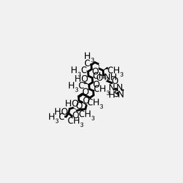 CC[C@@H](C(=O)[C@@H](C)[C@@H](O)[C@H](C)[C@@H]1O[C@@H]([C@@H](CC)C(=O)NCC(=O)Nc2ncns2)CCC1C)[C@H]1O[C@]2(C=C[C@@H](O)[C@]3(CC[C@@](C)([C@H]4CC[C@](O)(CC)[C@H](C)O4)O3)O2)[C@H](C)C[C@@H]1C